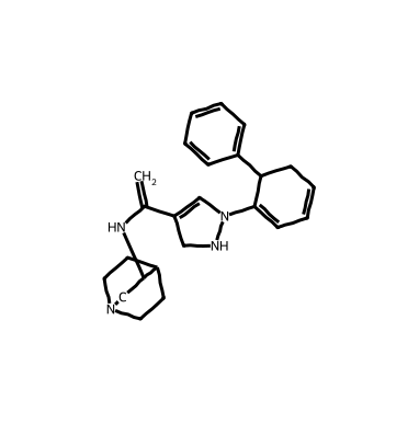 C=C(NC1CN2CCC1CC2)C1=CN(C2=CC=CCC2c2ccccc2)NC1